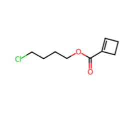 O=C(OCCCCCl)C1=CCC1